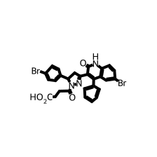 O=C(O)CCC(=O)N1N=C(c2c(-c3ccccc3)c3cc(Br)ccc3[nH]c2=O)CC1c1ccc(Br)cc1